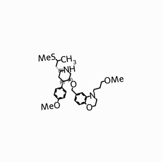 COCCCN1CCOc2ccc(CO[C@H]3CN[C@@H](CC(C)SC)C[C@@H]3c3ccc(OC)cc3)cc21